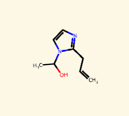 C=CCc1nccn1C(C)O